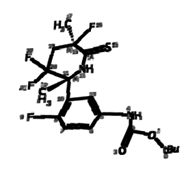 CC(C)(C)OC(=O)Nc1ccc(F)c([C@@]2(C)NC(=S)[C@](C)(F)CC2(F)F)c1